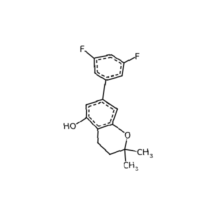 CC1(C)CCc2c(O)cc(-c3cc(F)cc(F)c3)cc2O1